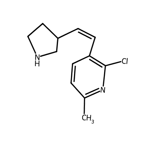 Cc1ccc(/C=C\C2CCNC2)c(Cl)n1